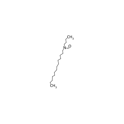 CCCCCCCCCCCCCCN([C]=O)CCCC